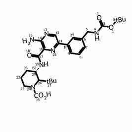 CC(C)(C)OC(=O)NCc1cccc(-c2cnc(N)c(C(=O)N[C@H]3CCCN(C(=O)O)C3C(C)(C)C)n2)c1